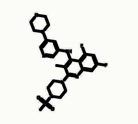 Cc1c(N2CCN(S(C)(=O)=O)CC2)nc2cc(F)cc(F)c2c1Nc1cncc(N2CCOCC2)c1